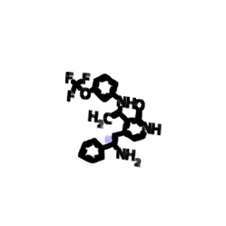 C=C(Nc1cccc(OC(F)(F)F)c1)c1c(/C=C(\N)c2ccccc2)cc[nH]c1=O